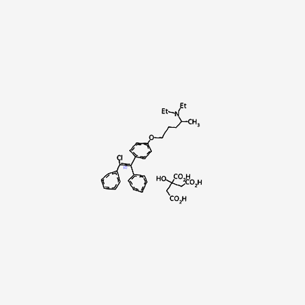 CCN(CC)C(C)CCCOc1ccc(/C(=C(\Cl)c2ccccc2)c2ccccc2)cc1.O=C(O)CC(O)(CC(=O)O)C(=O)O